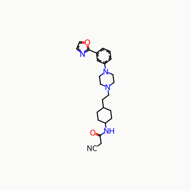 N#CCC(=O)NC1CCC(CCN2CCN(c3cccc(-c4ncco4)c3)CC2)CC1